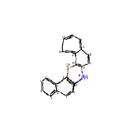 c1ccc2c3c(ccc2c1)Nc1ccc2ccccc2c1S3